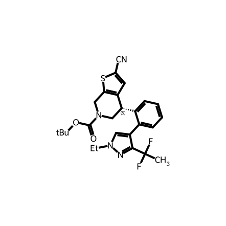 CCn1cc(-c2ccccc2[C@@H]2CN(C(=O)OC(C)(C)C)Cc3sc(C#N)cc32)c(C(C)(F)F)n1